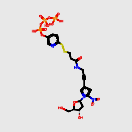 O=C(CCSSc1ccc(OP(=O)(O)OP(=O)(O)OP(=O)(O)O)cn1)NCC#Cc1cc([N+](=O)[O-])n([C@H]2C[C@H](O)[C@@H](CO)O2)c1